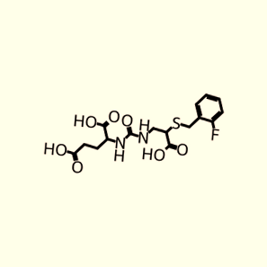 O=C(O)CCC(NC(=O)NCC(SCc1ccccc1F)C(=O)O)C(=O)O